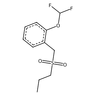 CCCS(=O)(=O)Cc1ccccc1OC(F)F